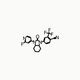 N#Cc1ccc(N2C(=O)N(c3ccnc(F)c3)C3CCCCC32)cc1C(F)(F)F